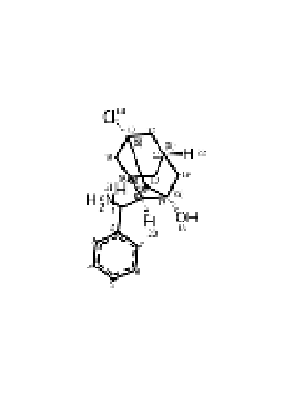 NC(c1ccccc1)[C@H]1[C@H]2C[C@@H]3C[C@](Cl)(C2)C[C@@]1(O)C3